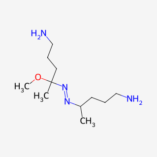 COC(C)(CCCN)/N=N/C(C)CCCN